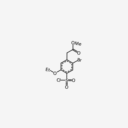 CCOc1cc(CC(=O)OC)c(Br)cc1S(=O)(=O)Cl